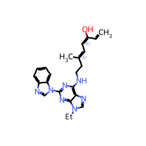 C=C/C(O)=C\C=C(/C)CCNc1nc(-n2cnc3ccccc32)nc2c1ncn2CC